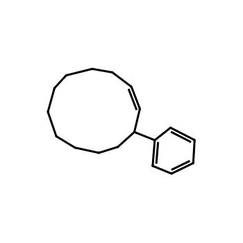 C1=C\C(c2ccccc2)CCCCCCCCC/1